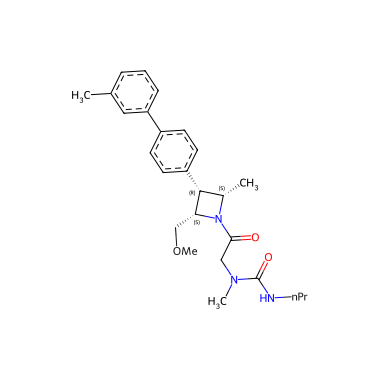 CCCNC(=O)N(C)CC(=O)N1[C@H](COC)[C@H](c2ccc(-c3cccc(C)c3)cc2)[C@@H]1C